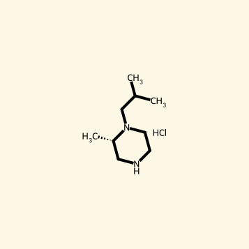 CC(C)CN1CCNC[C@@H]1C.Cl